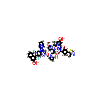 Cc1ncsc1-c1ccc([C@H](CO)NC(=O)[C@@H]2C[C@@H](O)CN2C(=O)[C@@H](N2C(=O)CC[C@@H]2CCCN2CCC[C@H]2COc2nc(N3CC4CCC(C3)N4)c3cnc(-c4cc(O)cc5cccc(F)c45)c(F)c3n2)C(C)(C)C)cc1